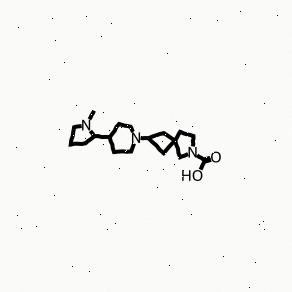 CN1CCCC1C1CCN(C2CC3(CCN(C(=O)O)C3)C2)CC1